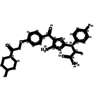 CC1CCN(C(=O)COc2ccc(C(=O)c3sc(N(c4ccc(F)cc4)C(C)C(N)=O)nc3N)cc2)CC1